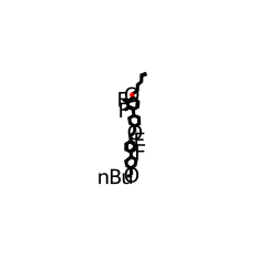 C=CCCCOc1ccc(C2CCC(OCc3ccc(C4CCC(OCCCC)CC4)c(F)c3F)CC2)c(F)c1F